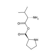 CC(C)[C@H](N)C(=O)OC(=O)[C@@H]1CCCN1